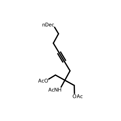 CCCCCCCCCCCCC#CCC(COC(C)=O)(COC(C)=O)NC(C)=O